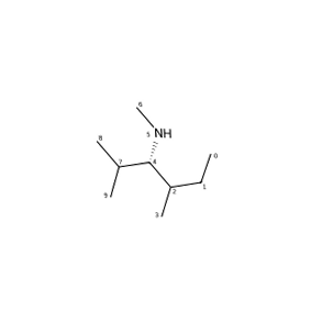 CCC(C)[C@@H](NC)C(C)C